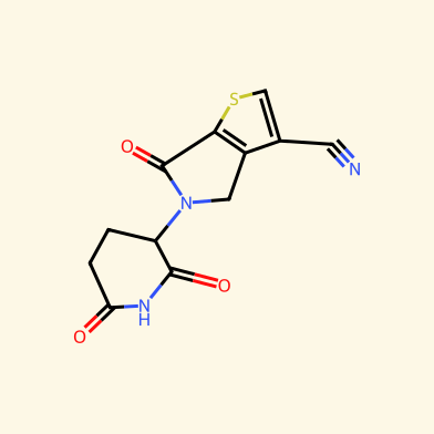 N#Cc1csc2c1CN(C1CCC(=O)NC1=O)C2=O